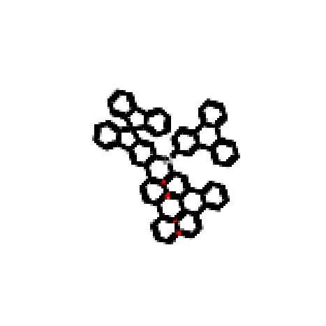 c1ccc(-c2ccc(-c3cc4c(cc3N(c3ccc5c6ccccc6c6ccccc6c5c3)c3ccc5c6ccccc6c6ccccc6c5c3)C3(c5ccccc5-c5ccccc53)c3ccccc3-4)cc2)cc1